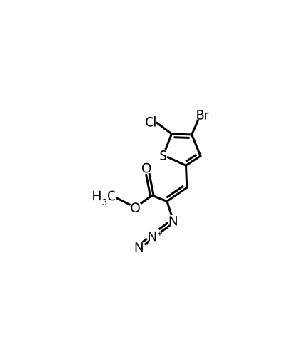 COC(=O)/C(=C\c1cc(Br)c(Cl)s1)N=[N+]=[N-]